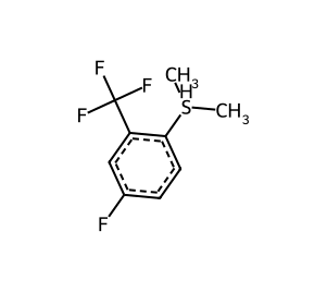 C[SH](C)c1ccc(F)cc1C(F)(F)F